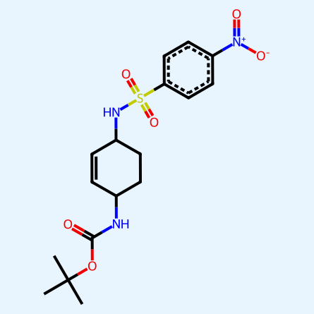 CC(C)(C)OC(=O)NC1C=CC(NS(=O)(=O)c2ccc([N+](=O)[O-])cc2)CC1